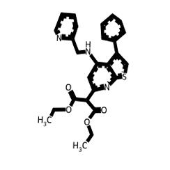 CCOC(=O)C(C(=O)OCC)c1cc(NCc2ccccn2)c2c(-c3ccccc3)csc2n1